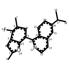 Cc1cc2c(F)c(C)cc(-c3nccc4cc(C(C)C)ccc34)c2o1